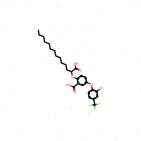 CCCCCCCCCCCCC(Oc1ccc(Oc2ccc(C(F)(F)F)cc2Cl)cc1C(=O)O)C(=O)O